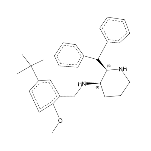 COc1ccc(C(C)(C)C)cc1CN[C@@H]1CCCN[C@@H]1C(c1ccccc1)c1ccccc1